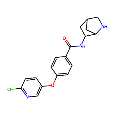 O=C(NC1CC2CNC1C2)c1ccc(Oc2ccc(Cl)nc2)cc1